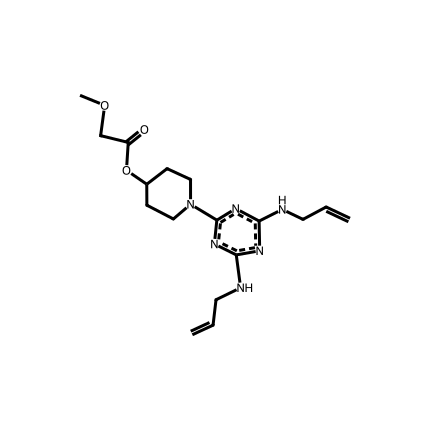 C=CCNc1nc(NCC=C)nc(N2CCC(OC(=O)COC)CC2)n1